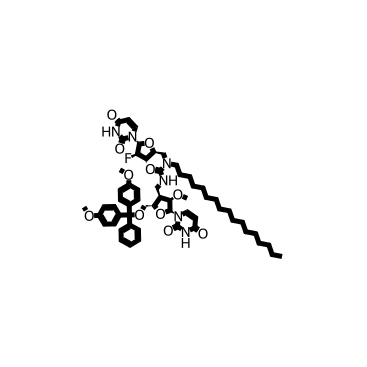 CCCCCCCCCCCCCCCCCN(C[C@H]1[CH][C@@H](F)[C@H](n2ccc(=O)[nH]c2=O)O1)C(=O)NC[C@H]1[C@@H](OC)[C@H](n2ccc(=O)[nH]c2=O)O[C@@H]1COC(c1ccccc1)(c1ccc(OC)cc1)c1ccc(OC)cc1